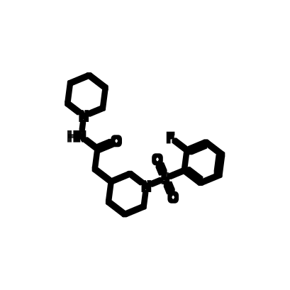 O=C(CC1CCCN(S(=O)(=O)c2ccccc2F)C1)NN1CCCCC1